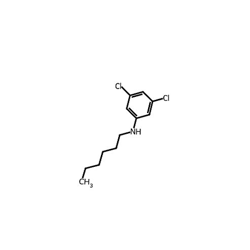 CCCCCCNc1cc(Cl)cc(Cl)c1